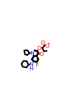 CCC(Oc1cn(C2CCCC2)c2cc(NC3CCCCC3)c(F)cc2c1=O)C(=O)OC